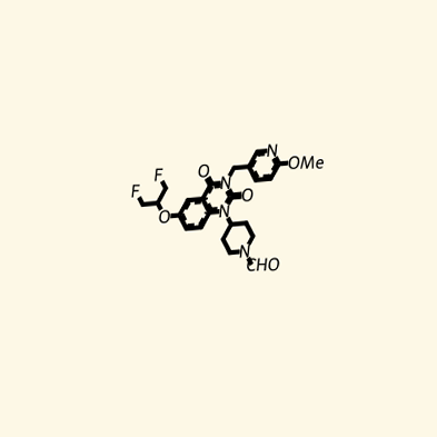 COc1ccc(Cn2c(=O)c3cc(OC(CF)CF)ccc3n(C3CCN(C=O)CC3)c2=O)cn1